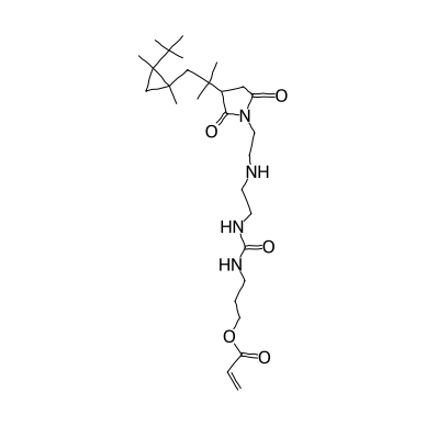 C=CC(=O)OCCCNC(=O)NCCNCCN1C(=O)CC(C(C)(C)CC2(C)CC2(C)C(C)(C)C)C1=O